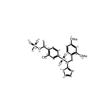 COc1ccc(CN(c2ncns2)S(=O)(=O)c2ccc(C(C)OS(C)(=O)=O)c(Cl)c2)c(OC)c1